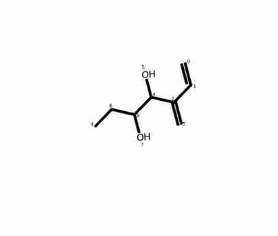 C=CC(=C)C(O)C(O)CC